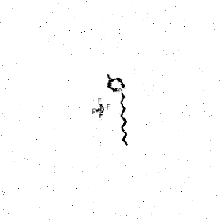 CCCCCCCCC[n+]1ccc(C)cc1.F[B-](F)(F)F